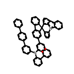 c1ccc(-c2ccc(-c3cccc(N(c4cccc(-c5ccc6c(c5)C5(c7ccccc7-6)c6ccccc6-n6c7ccccc7c7cccc5c76)c4)c4ccccc4-c4ccccc4)c3)cc2)cc1